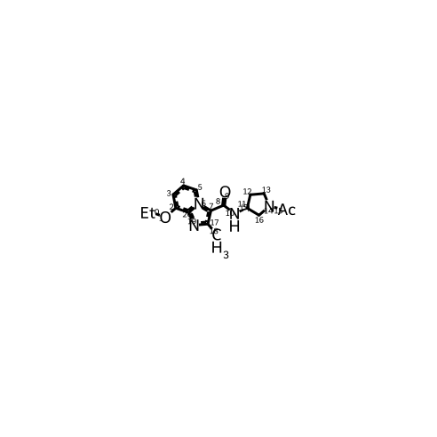 CCOc1cccn2c(C(=O)N[C@H]3CCN(C(C)=O)C3)c(C)nc12